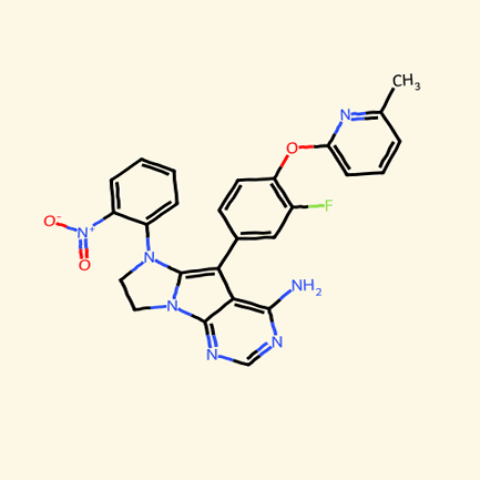 Cc1cccc(Oc2ccc(-c3c4n(c5ncnc(N)c35)CCN4c3ccccc3[N+](=O)[O-])cc2F)n1